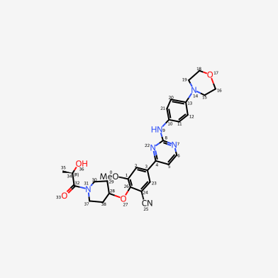 COc1cc(-c2ccnc(Nc3ccc(N4CCOCC4)cc3)n2)cc(C#N)c1OC1CCN(C(=O)[C@@H](C)O)CC1